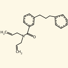 C=CCN(CC=C)C(=O)c1cccc(CCCc2ccccc2)c1